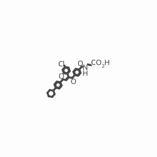 O=C(O)CCNC(=O)c1ccc(C(=O)C(=CC(=O)c2ccc(C3CCCCC3)cc2)c2ccc(Cl)cc2)cc1